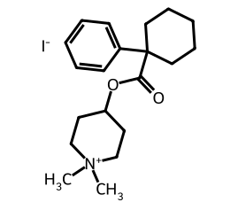 C[N+]1(C)CCC(OC(=O)C2(c3ccccc3)CCCCC2)CC1.[I-]